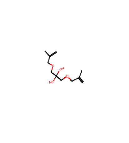 C=C(C)COCC(O)(O)COCC(=C)C